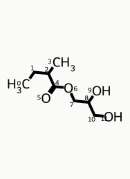 CCC(C)C(=O)OCC(O)CO